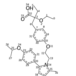 CCOC(CC)(Cc1ccc(OCCn2c(C)ccc2-c2ccc(OC(C)C)cc2)cc1)C(=O)O